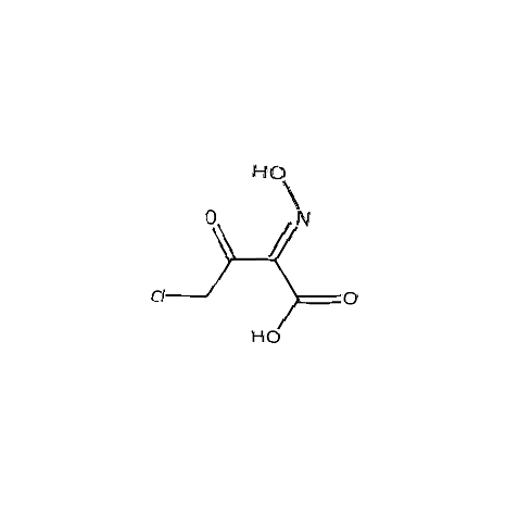 O=C(O)/C(=N/O)C(=O)CCl